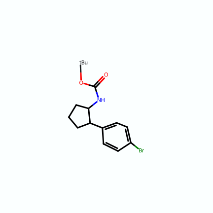 CC(C)(C)OC(=O)NC1CCCC1c1ccc(Br)cc1